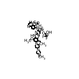 CCc1c(N2CCC(N3CCN(C)CC3)CC2)cc(OC)c(Nc2ncc(Br)c(Nc3ccc4nccnc4c3P(C)(C)=O)n2)c1F.O=C(O)C(F)(F)F